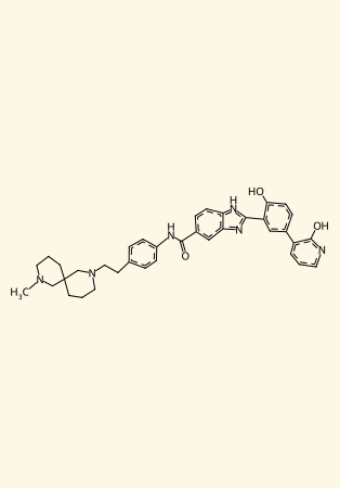 CN1CCCC2(CCCN(CCc3ccc(NC(=O)c4ccc5[nH]c(-c6cc(-c7cccnc7O)ccc6O)nc5c4)cc3)C2)C1